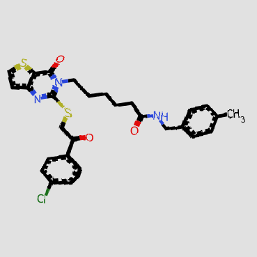 Cc1ccc(CNC(=O)CCCCCn2c(SCC(=O)c3ccc(Cl)cc3)nc3ccsc3c2=O)cc1